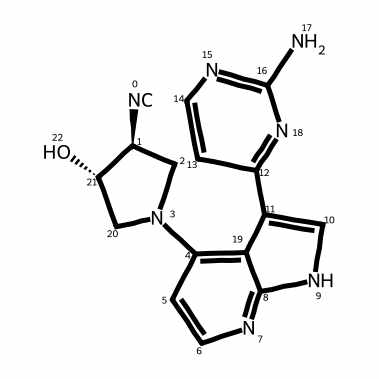 [C-]#[N+][C@H]1CN(c2ccnc3[nH]cc(-c4ccnc(N)n4)c23)C[C@@H]1O